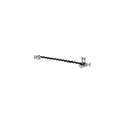 O=C(CCCCCCCCCCCCCCCCCCCCCCCCCCCCCS)NO